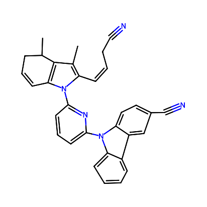 Cc1c2c(n(-c3cccc(-n4c5ccccc5c5cc(C#N)ccc54)n3)c1/C=C\CC#N)C=CCC2C